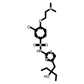 CCC(O)(CC)Cc1csc(NS(=O)(=O)c2ccc(OCCN(C)C)c(Cl)c2)n1